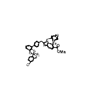 CCn1cncc1Cn1c(Cc2ccc(-c3cccc4c3OC(C)(c3ccc(Cl)cc3F)O4)cc2)nc2ccc(C(=O)OC)cc21